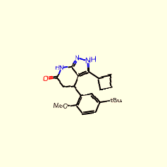 COc1ccc(C(C)(C)C)cc1C1CC(=O)Nc2n[nH]c(C3CCC3)c21